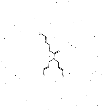 S=C(SCC=CCl)N(CC=CCl)CC=CCl